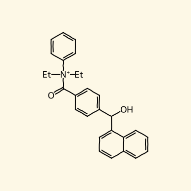 CC[N+](CC)(C(=O)c1ccc(C(O)c2cccc3ccccc23)cc1)c1ccccc1